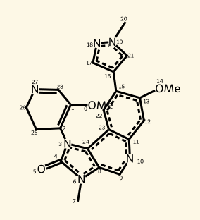 COC1=C(n2c(=O)n(C)c3cnc4cc(OC)c(-c5cnn(C)c5)cc4c32)CCN=C1